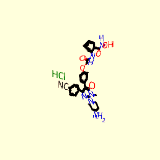 Cl.Cn1c(N2CCC(N)CC2)nc(-c2ccc(C#N)cc2)c(-c2ccc(OCC(=O)Nc3ccccc3C(=O)NO)cc2)c1=O